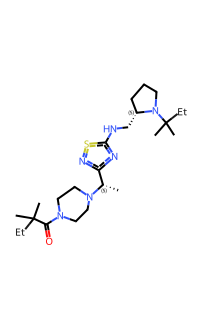 CCC(C)(C)C(=O)N1CCN([C@@H](C)c2nsc(NC[C@@H]3CCCN3C(C)(C)CC)n2)CC1